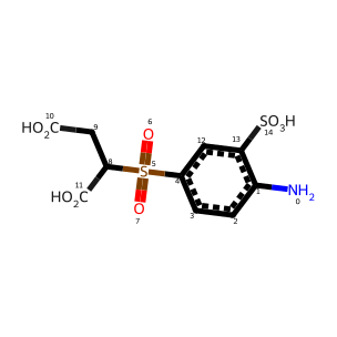 Nc1ccc(S(=O)(=O)C(CC(=O)O)C(=O)O)cc1S(=O)(=O)O